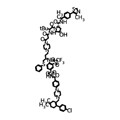 Cc1ncsc1-c1ccc([C@H](C)NC(=O)[C@@H]2C[C@@H](O)CN2C(=O)C(NC(=O)CC(=O)N2CCN(CCC(CSc3ccccc3)Nc3ccc(S(=O)(=O)NC(=O)c4ccc(N5CCN(CC6=C(c7ccc(Cl)cc7)CCC(C)(C)C6)CC5)cc4)cc3S(=O)(=O)C(F)(F)F)CC2)C(C)(C)C)cc1